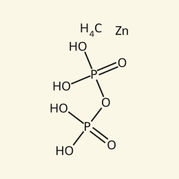 C.O=P(O)(O)OP(=O)(O)O.[Zn]